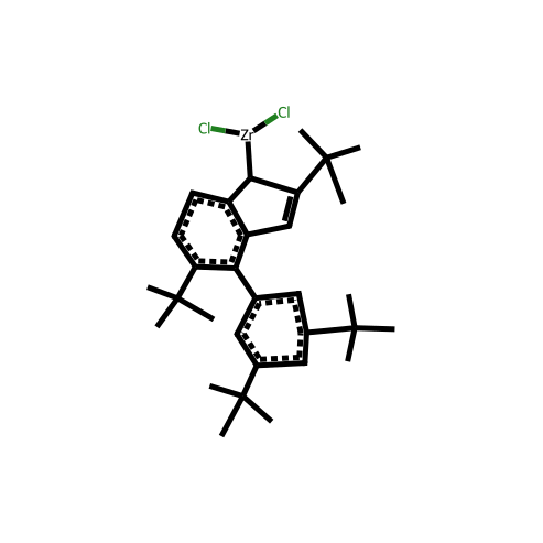 CC(C)(C)C1=Cc2c(ccc(C(C)(C)C)c2-c2cc(C(C)(C)C)cc(C(C)(C)C)c2)[CH]1[Zr]([Cl])[Cl]